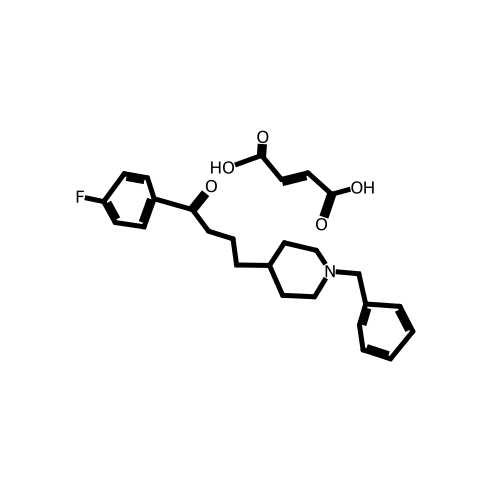 O=C(CCCC1CCN(Cc2ccccc2)CC1)c1ccc(F)cc1.O=C(O)C=CC(=O)O